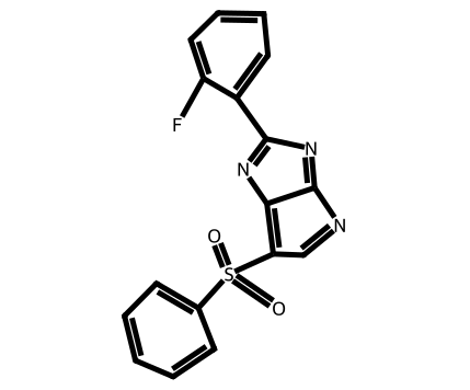 O=S(=O)(C1=C2N=C(c3ccccc3F)N=C2N=C1)c1ccccc1